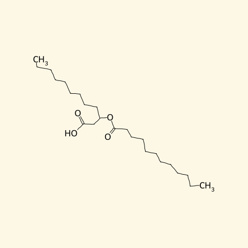 CCCCCCCCCCCC(=O)OC(CCCCCCCCC)CC(=O)O